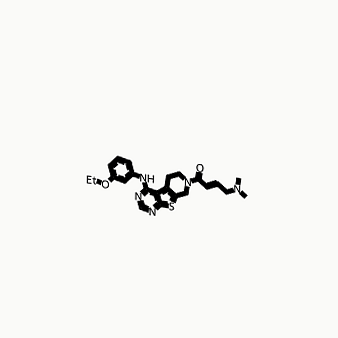 CCOc1cccc(Nc2ncnc3sc4c(c23)CCN(C(=O)C=CCN(C)C)C4)c1